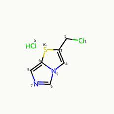 Cl.ClCc1cn2cncc2s1